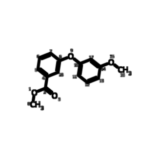 COC(=O)c1cccc(Oc2cccc(OC)c2)c1